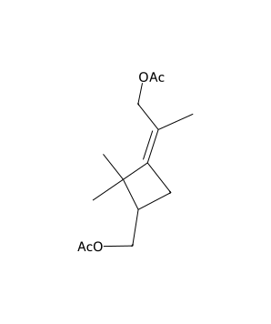 CC(=O)OCC(C)=C1CC(COC(C)=O)C1(C)C